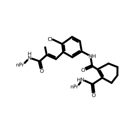 CCCNC(=O)C1=C(C(=O)Nc2ccc(Cl)c(/C=C(\C)C(=O)NCCC)c2)CCCC1